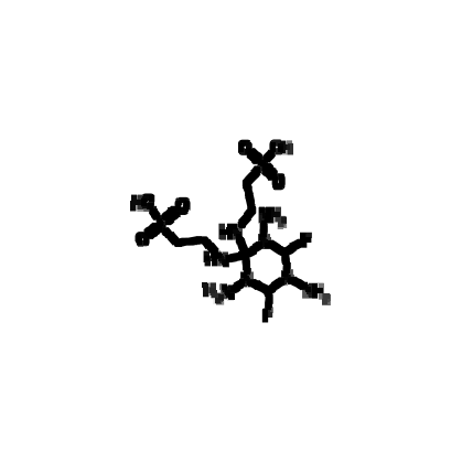 NN1C(F)N(N)C(NCCS(=O)(=O)O)(NCCS(=O)(=O)O)N(N)C1F